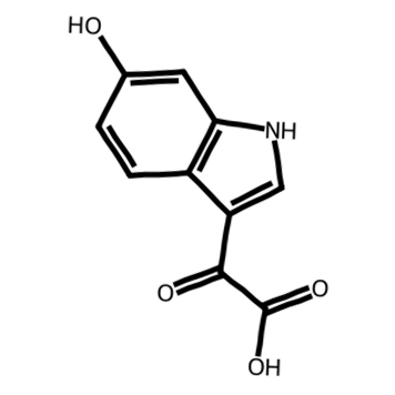 O=C(O)C(=O)c1c[nH]c2cc(O)ccc12